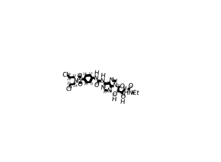 CCNC(=O)[C@H]1O[C@@H](n2cnc3c(NC(=O)Nc4ccc(S(=O)(=O)N(CCCl)CCCl)cc4)ncnc32)[C@@H](O)C1O